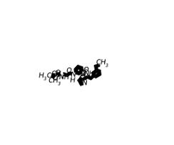 CCCc1cccc(CC(NS(=O)(=O)c2cccc(NC(=O)CCNC(=O)OC(C)(C)C)c2)c2nccs2)c1